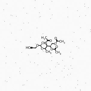 C#CCO[C@@H](C)OC(C)C(OC(C)=O)[C@@H](COC(C)=O)OC(C)=O